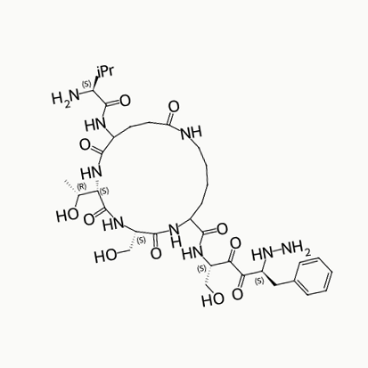 CC(C)[C@H](N)C(=O)NC1CCC(=O)NCCCCC(C(=O)N[C@@H](CO)C(=O)C(=O)[C@H](Cc2ccccc2)NN)NC(=O)[C@H](CO)NC(=O)[C@H]([C@@H](C)O)NC1=O